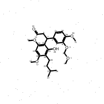 COCOc1cc(C(CC=O)c2c(OC)cc(OC)c(CCC(C)C)c2O)ccc1OC